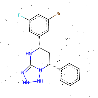 Fc1cc(Br)cc([C@@H]2C[C@H](c3ccccc3)N3NNN=C3N2)c1